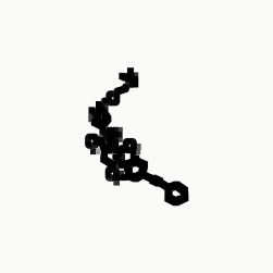 C[C@@]1(C(=O)Nc2cnn(COCC[Si](C)(C)C)c2)CC(=O)N(c2c(F)cc(C#Cc3ccccc3)cc2F)C(=O)N1